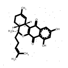 CC(C)=CCC[C@]1(C)OC2=C(C(=O)c3cc(O)cc(O)c3C2=O)[C@H]2C=C(C)CC[C@H]21